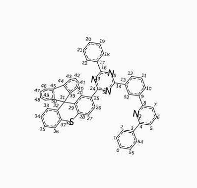 c1ccc(-c2cccc(-c3cccc(-c4nc(-c5ccccc5)nc(-c5ccc6c(c5)C5(c7ccccc7S6)c6ccccc6-c6ccccc65)n4)c3)n2)cc1